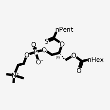 CCCCCCC(=O)OC[C@H](COP(=O)([O-])OCC[N+](C)(C)C)OC(=S)CCCCC